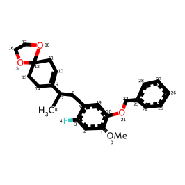 COc1cc(F)c(CC(C)C2=CCC3(CC2)OCCO3)cc1OCc1ccccc1